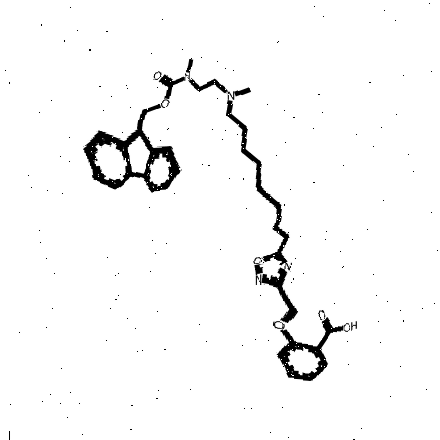 CN(CCCCCCCCc1nc(COc2ccccc2C(=O)O)no1)CCN(C)C(=O)OCC1c2ccccc2-c2ccccc21